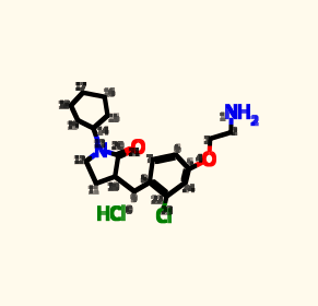 Cl.NCCOc1ccc(CC2CCN(C3CCCCC3)C2=O)c(Cl)c1